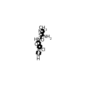 Cc1ccc2c(N)c(C(=O)N[C@H]3COc4cc(N5CCNCC5)c(Cl)cc4C3)sc2n1